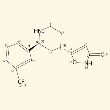 O=c1cc([C@H]2CCN[C@H](c3cccc(C(F)(F)F)c3)C2)o[nH]1